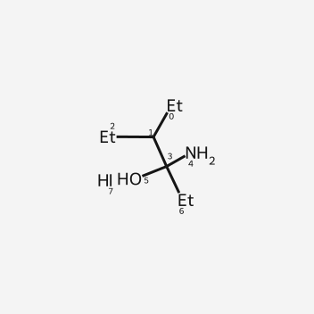 CCC(CC)C(N)(O)CC.I